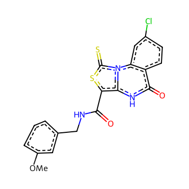 COc1cccc(CNC(=O)c2sc(=S)n3c2[nH]c(=O)c2ccc(Cl)cc23)c1